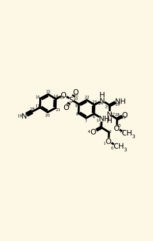 COCC(=O)Nc1ccc(S(=O)(=O)Oc2ccc(C#N)cc2)cc1NC(=N)NC(=O)OC